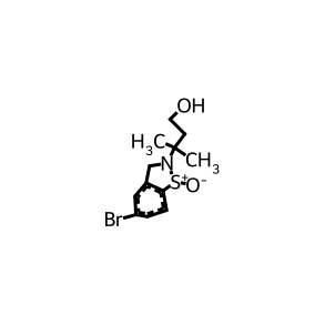 CC(C)(CCO)N1Cc2cc(Br)ccc2[S+]1[O-]